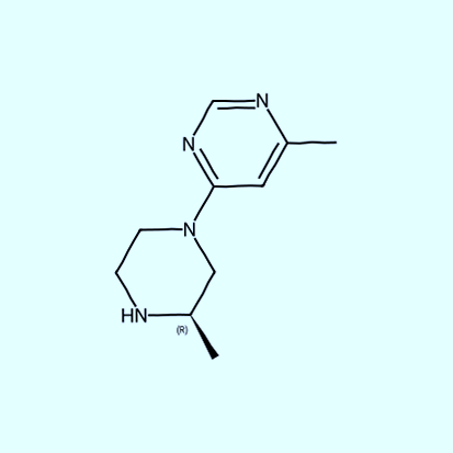 Cc1cc(N2CCN[C@H](C)C2)ncn1